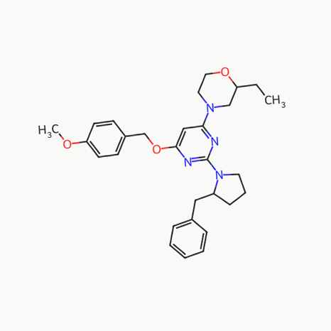 CCC1CN(c2cc(OCc3ccc(OC)cc3)nc(N3CCCC3Cc3ccccc3)n2)CCO1